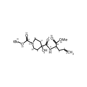 C=CCC(NC(=O)C1(O)CCN(C(=O)OC(C)(C)C)CC1)C(=O)OC